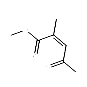 COC(=O)/C(C)=C\C(C)=O